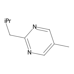 [CH2]C(C)Cc1ncc(C)cn1